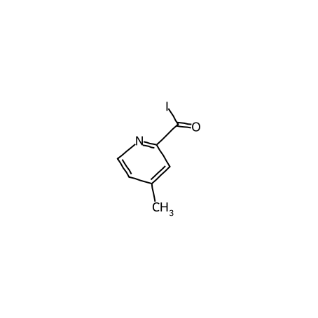 Cc1ccnc(C(=O)I)c1